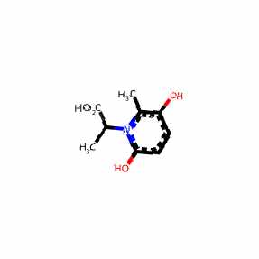 Cc1c(O)ccc(O)[n+]1C(C)C(=O)O